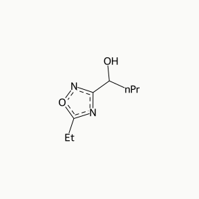 CCCC(O)c1noc(CC)n1